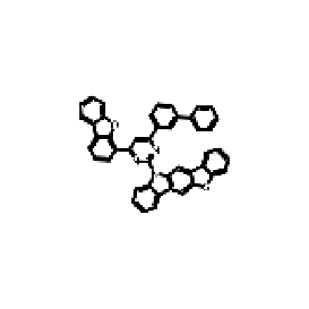 c1ccc(-c2cccc(-c3cc(-c4cccc5c4oc4ccccc45)nc(-n4c5ccccc5c5cc6sc7ccccc7c6cc54)n3)c2)cc1